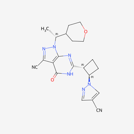 C[C@H](C1CCOCC1)n1nc(C#N)c2c(=O)[nH]c([C@@H]3CC[C@H]3n3cc(C#N)cn3)nc21